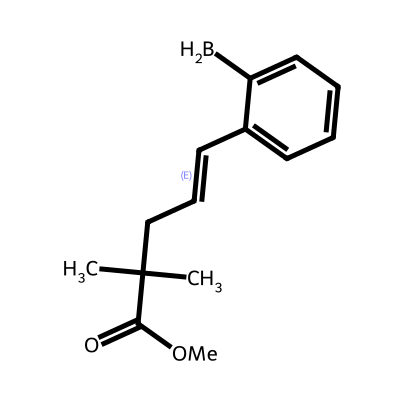 Bc1ccccc1/C=C/CC(C)(C)C(=O)OC